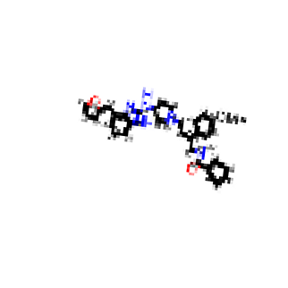 COc1ccc(C(CCN2CCC(Nc3nc4c(Cc5ccco5)cccc4[nH]3)CC2)CN(C)C(=O)c2ccccc2)cc1